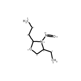 CCCC1OCC(CC)N1N=O